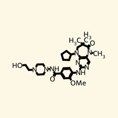 COc1cc(C(=O)NN2CCN(CCO)CC2)ccc1Nc1ncc2c(n1)N(C1CCCC1)CC(C)(C)C(=O)N2C